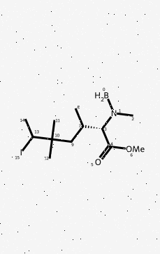 BN(C)[C@H](C(=O)OC)C(C)CC(C)(C)C(C)I